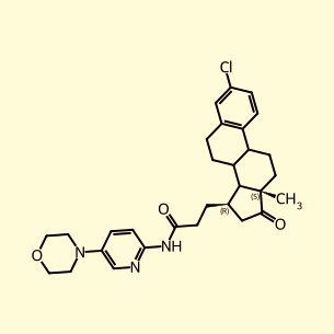 C[C@]12CCC3c4ccc(Cl)cc4CCC3C1[C@H](CCC(=O)Nc1ccc(N3CCOCC3)cn1)CC2=O